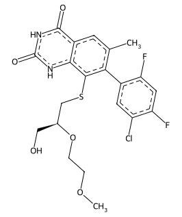 COCCO[C@@H](CO)CSc1c(-c2cc(Cl)c(F)cc2F)c(C)cc2c(=O)[nH]c(=O)[nH]c12